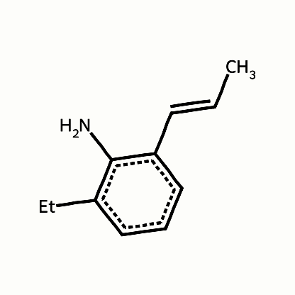 CC=Cc1cccc(CC)c1N